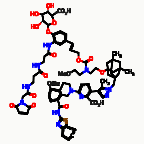 COCCN(CCOC12CC3(C)CC(C)(CC(Cn4ncc(-c5ccc(N6CCc7c(OC)ccc(C(=O)Nc8nc9ccccc9s8)c7C6)nc5C(=O)O)c4C)(C3)C1)C2)C(=O)OC/C=C/c1ccc(O[C@@H]2O[C@H](C(=O)O)[C@@H](O)[C@H](O)[C@H]2O)c(NC(=O)CCNC(=O)CCNC(=O)CN2C(=O)C=CC2=O)c1